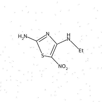 CCNc1nc(N)sc1[N+](=O)[O-]